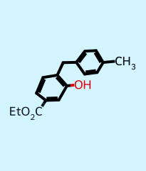 CCOC(=O)c1ccc(Cc2ccc(C)cc2)c(O)c1